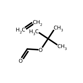 C=C.CC(C)(C)OC=O